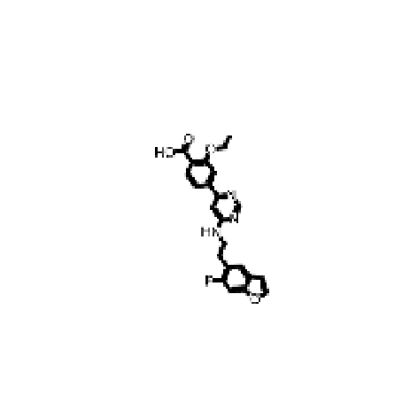 CCOc1cc(-c2cc(NCCc3cc4ccoc4cc3F)ncn2)ccc1C(=O)O